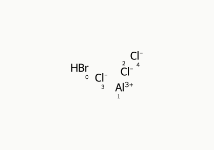 Br.[Al+3].[Cl-].[Cl-].[Cl-]